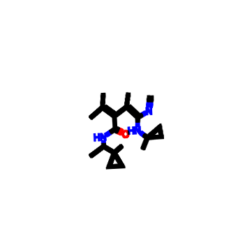 C=N/C(NC1(C)CC1)=C(\C)C(C(=O)NC(C)C1(C)CC1)=C(C)C